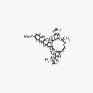 CC[C@@H]1C[C@H](C)CC/C=C\C2C[C@@]2(C(=O)NS(=O)(=O)C2(C)CC2)NC(=O)[C@@H]2C[C@@H](Oc3nc4cc(OC)ccc4nc3Cl)CN2C(=O)[C@H]1NC(=O)OC(C)(C)C